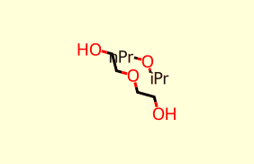 CCCOC(C)C.OCCOCCO